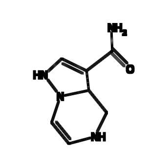 NC(=O)C1=CNN2C=CNCC12